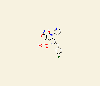 NC(=O)c1c(CC(O)O)c2ncc(Cc3ccc(F)cc3)cc2n(-c2cccnc2)c1=O